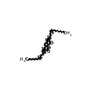 CCCCCCCCc1ccc(/C=C/c2cc3c(nc4c5ccc6c7c(sc(c(=O)n34)c57)c(=O)n3c4cc(CCc5ccc(CCCCCCCC)s5)sc4nc63)s2)s1